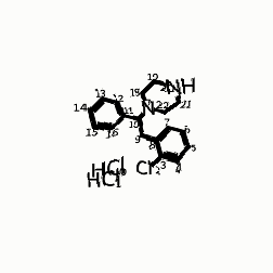 Cl.Cl.Clc1ccccc1CC(c1ccccc1)N1CCNCC1